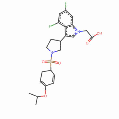 CC(C)OC1=CCC(S(=O)(=O)N2CCC(c3cn(CC(=O)O)c4cc(F)cc(F)c34)C2)C=C1